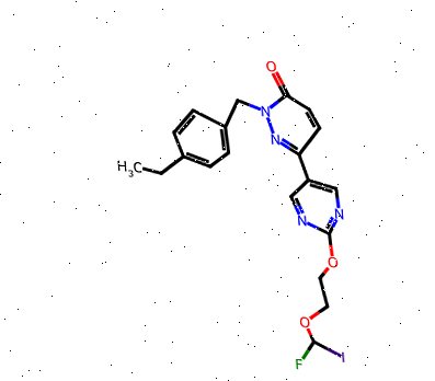 CCc1ccc(Cn2nc(-c3cnc(OCCOC(F)I)nc3)ccc2=O)cc1